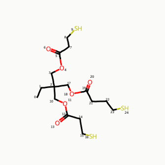 CCC(COC(=O)CCS)(COC(=O)CCS)COC(=O)CCCS